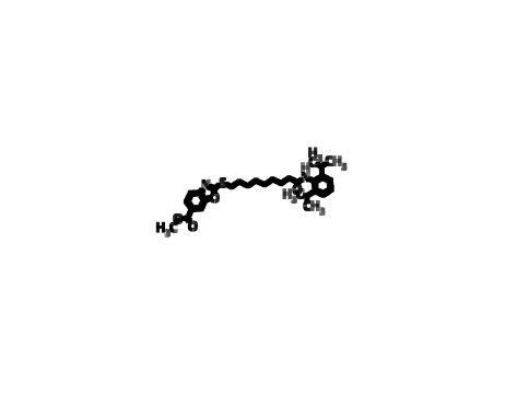 COC(=O)c1ccc2nc(SCCCCCCCCC(=O)Nc3c(C(C)C)cccc3C(C)C)oc2c1